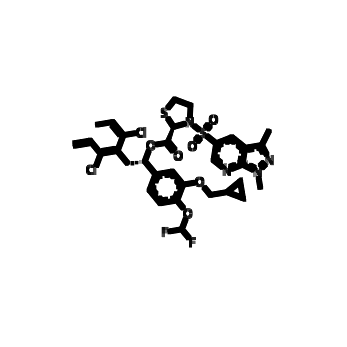 C=C/C(Cl)=C(C[C@H](OC(=O)[C@H]1SCCN1S(=O)(=O)c1cnc2c(c1)c(C)nn2C)c1ccc(OC(F)F)c(OCC2CC2)c1)\C(Cl)=C/C